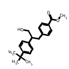 COC(=O)c1ccc(CC(CO)c2ccc(C(C)(C)C)cc2)cc1